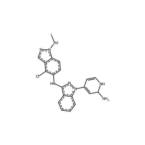 NC1C=C(n2nc(Nc3ccc4c(cnn4PI)c3Cl)c3ccccc32)C=CN1